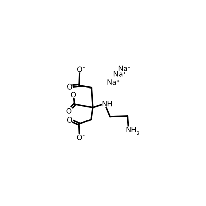 NCCNC(CC(=O)[O-])(CC(=O)[O-])C(=O)[O-].[Na+].[Na+].[Na+]